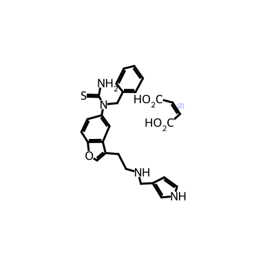 NC(=S)N(Cc1ccccc1)c1ccc2occ(CCNCc3cc[nH]c3)c2c1.O=C(O)/C=C\C(=O)O